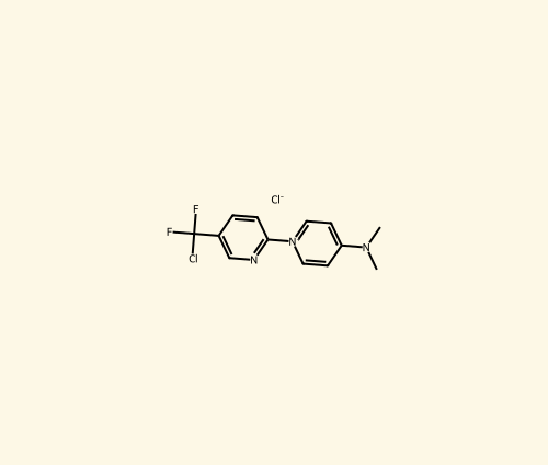 CN(C)c1cc[n+](-c2ccc(C(F)(F)Cl)cn2)cc1.[Cl-]